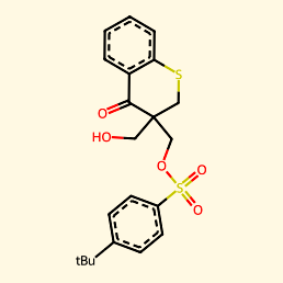 CC(C)(C)c1ccc(S(=O)(=O)OCC2(CO)CSc3ccccc3C2=O)cc1